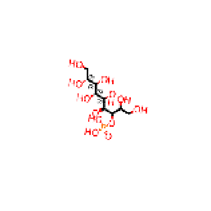 O=C(C(OP(=O)(O)O)C(O)CO)[C@H](O)[C@@H](O)[C@H](O)[C@H](O)CO